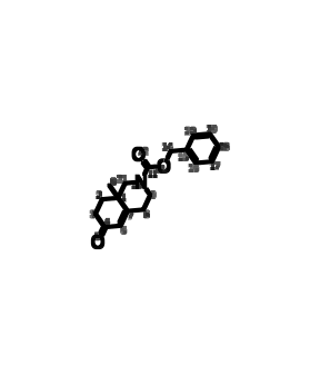 CC12CCC(=O)C=C1CCN(C(=O)OCc1ccccc1)C2